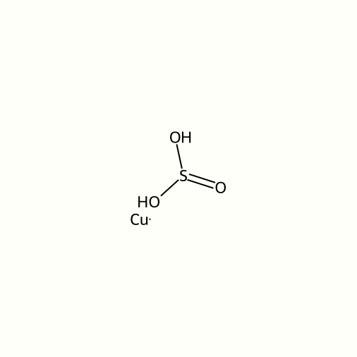 O=S(O)O.[Cu]